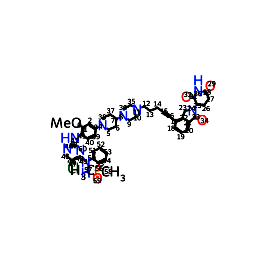 COc1cc(N2CCC(N3CCN(CCCC#Cc4cccc5c4CN(C4CCC(=O)NC4=O)C5=O)CC3)CC2)ccc1Nc1ncc(Cl)c(Nc2ccccc2P(C)(C)=O)n1